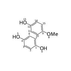 Oc1ccc(O)cc1.[CH2]Oc1ccc(O)cc1